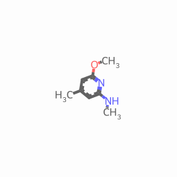 CNc1cc(C)cc(OC)n1